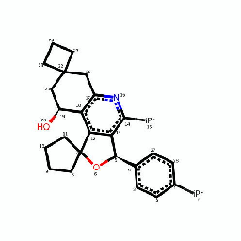 CC(C)c1ccc([C@H]2OC3(CCCC3)c3c2c(C(C)C)nc2c3[C@@H](O)CC3(CCC3)C2)cc1